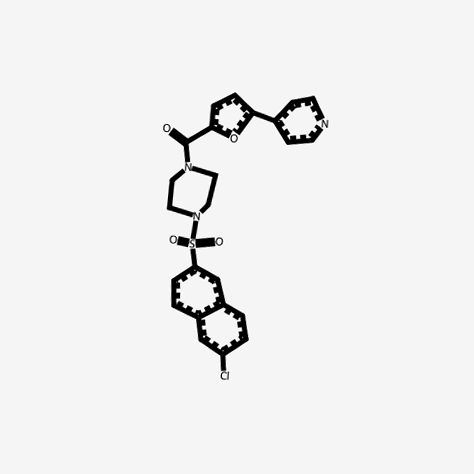 O=C(c1ccc(-c2ccncc2)o1)N1CCN(S(=O)(=O)c2ccc3cc(Cl)ccc3c2)CC1